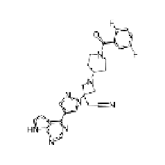 N#CCC1(n2cc(-c3ncnc4[nH]ccc34)cn2)CN(C2CCN(C(=O)c3cc(F)ccc3F)CC2)C1